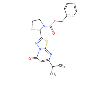 CC(C)c1cc(=O)n2nc(C3CCCN3C(=O)OCc3ccccc3)sc2n1